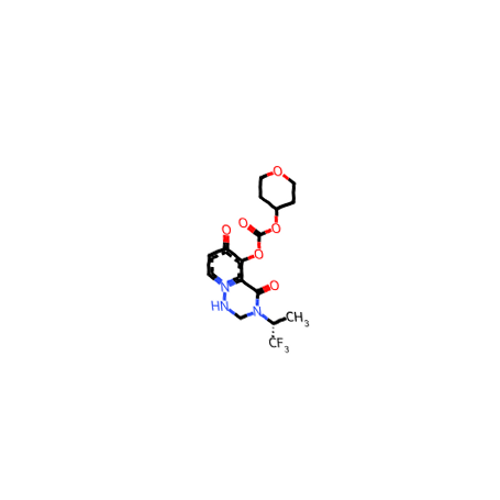 C[C@@H](N1CNn2ccc(=O)c(OC(=O)OC3CCOCC3)c2C1=O)C(F)(F)F